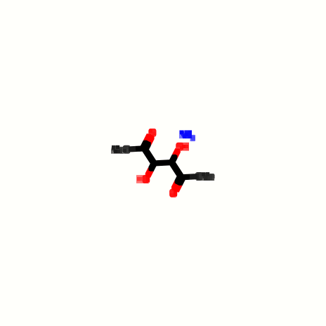 COC(=O)C(O)C(O)C(=O)OC.N